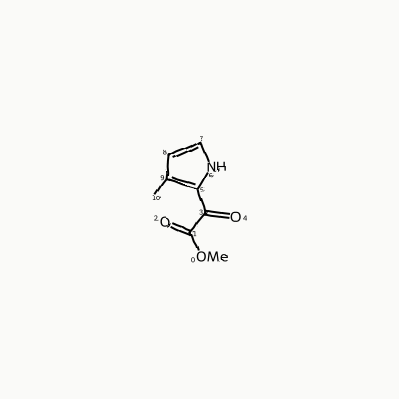 COC(=O)C(=O)c1[nH]ccc1C